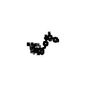 C/C1=N/C(CCCCc2ccc(-c3csc4c(=S)cc(N5CCOCC5)oc34)cc2)=C/CCC/C=C1/C=C(\C)C(=O)N(C)C